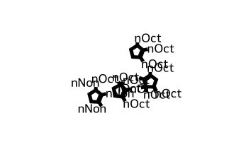 CCCCCCCCC1=C(CCCCCCCC)C(CCCCCCCC)(CCCCCCCC)C(CCCCCCCC)C1.CCCCCCCCC1=C(CCCCCCCC)C(CCCCCCCC)(CCCCCCCC)CC1.CCCCCCCCC1=C(CCCCCCCC)C(CCCCCCCC)CC1.CCCCCCCCCC1=C(CCCCCCCCC)C(CCCCCCCCC)CC1